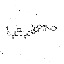 CN1CCN(CCC(=O)Nc2ccc3c(=O)n(CC4(O)CCN(C(=O)C(CCCNC(=O)C5CCN(C#N)C5)Cc5ccccc5)CC4)cnc3c2)CC1